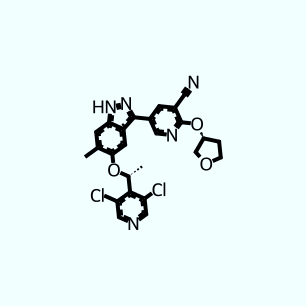 Cc1cc2[nH]nc(-c3cnc(O[C@@H]4CCOC4)c(C#N)c3)c2cc1O[C@H](C)c1c(Cl)cncc1Cl